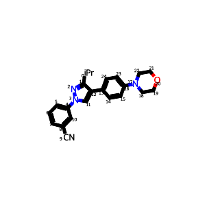 CC(C)c1nn(-c2cccc(C#N)c2)cc1-c1ccc(N2CCOCC2)cc1